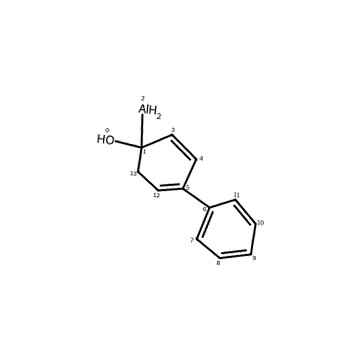 O[C]1([AlH2])C=CC(c2ccccc2)=CC1